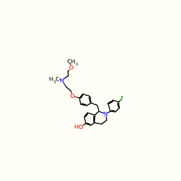 COCCN(C)CCOc1ccc(CC2c3ccc(O)cc3CCN2c2ccc(F)cc2)cc1